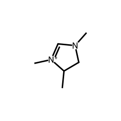 CC1CN(C)C=[N+]1C